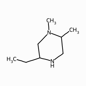 CCC1CN(C)C(C)CN1